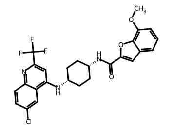 COc1cccc2cc(C(=O)N[C@H]3CC[C@@H](Nc4cc(C(F)(F)F)nc5ccc(Cl)cc45)CC3)oc12